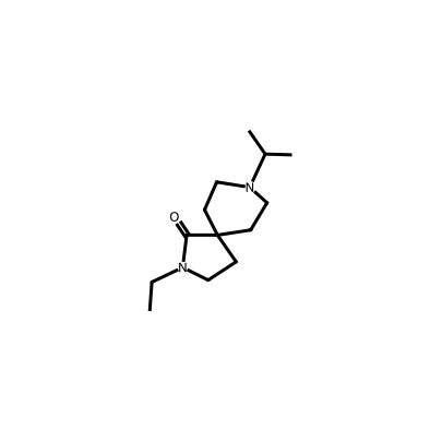 CCN1CCC2(CCN(C(C)C)CC2)C1=O